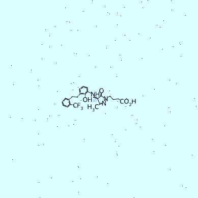 CC1=NN(CCCC(=O)O)C(=O)/C1=C\Nc1cccc(CCc2ccccc2C(F)(F)F)c1O